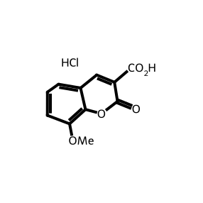 COc1cccc2cc(C(=O)O)c(=O)oc12.Cl